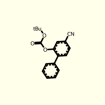 CC(C)(C)OC(=O)Oc1cc(C#N)ccc1-c1ccccc1